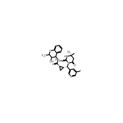 CC[C@]1(C)CC(=O)N(C(c2cncc(F)c2)[C@@H]2C[C@H]2C(=O)NC2c3ccccc3OC(C(F)(F)F)C2O)C(=N)N1